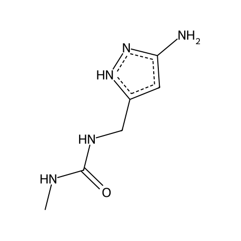 CNC(=O)NCc1cc(N)n[nH]1